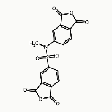 CN(c1ccc2c(c1)C(=O)OC2=O)S(=O)(=O)c1ccc2c(c1)C(=O)OC2=O